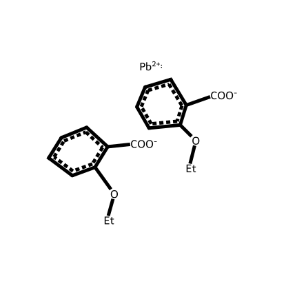 CCOc1ccccc1C(=O)[O-].CCOc1ccccc1C(=O)[O-].[Pb+2]